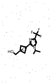 CC(C)n1cc(C(F)(F)F)nc1C12CC(CO)(C1)C2